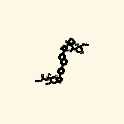 CCCN(Cc1ncc(-c2ccc(-c3ccc4cc(-c5cnc([C@@H]6[C@H]7CC[C@H](C7)N6C(=O)[C@H](CC#N)NC(=O)OC)[nH]5)ccc4c3)cc2)[nH]1)C(=O)[C@@H](NC(=O)OC)C(C)C